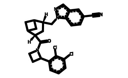 N#Cc1ccc2c(cnn2C[C@@H]2C[C@H](C(=O)N3CCC3c3cccc(Cl)c3Cl)C3CC2C3)c1